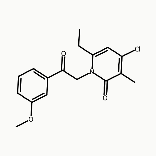 CCc1cc(Cl)c(C)c(=O)n1CC(=O)c1cccc(OC)c1